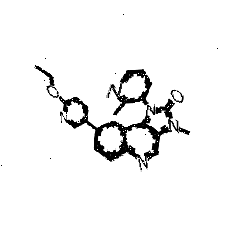 CCOc1ccc(-c2ccc3ncc4c(c3c2)n(-c2cccnc2C)c(=O)n4C)cn1